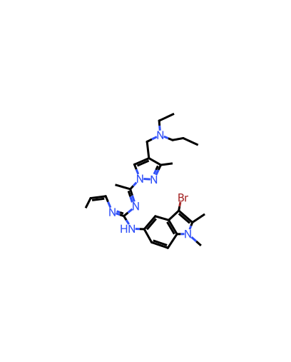 C\C=C/N=C(\N=C(/C)n1cc(CN(CC)CCC)c(C)n1)Nc1ccc2c(c1)c(Br)c(C)n2C